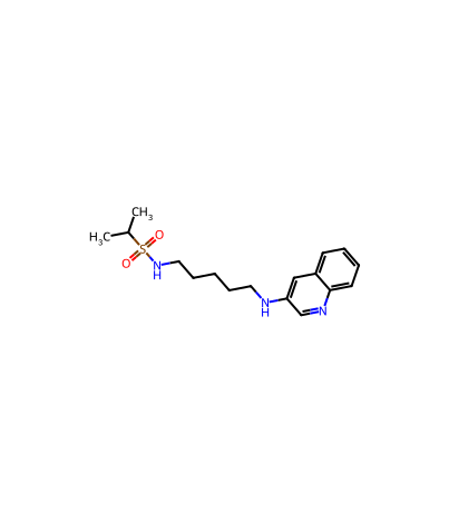 CC(C)S(=O)(=O)NCCCCCNc1cnc2ccccc2c1